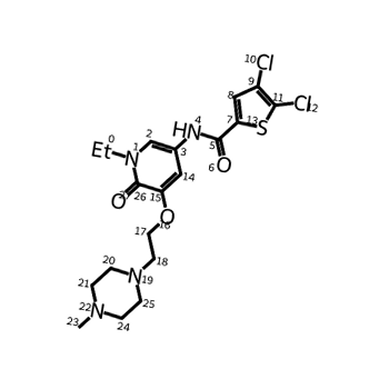 CCn1cc(NC(=O)c2cc(Cl)c(Cl)s2)cc(OCCN2CCN(C)CC2)c1=O